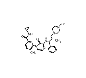 Cc1ccc(C(=O)NC2CC2)cc1-n1ccnc(N[C@@H](c2ccccc2)[C@@H](C)CN2CCN(C(C)C)CC2)c1=O